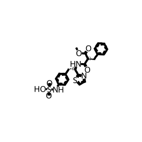 COC(=O)[C@@H](Cc1ccccc1)C(=O)N[C@@H](Cc1ccc(NS(=O)(=O)O)cc1)c1nccs1